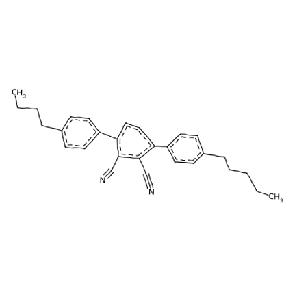 CCCCCc1ccc(-c2ccc(-c3ccc(CCCC)cc3)c(C#N)c2C#N)cc1